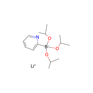 CC(C)O[B-](OC(C)C)(OC(C)C)c1ccccn1.[Li+]